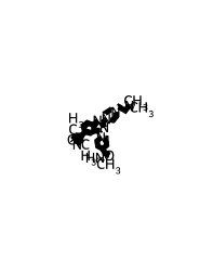 CNC(=O)C1CCN(c2nc(N3CCN(CCN(C)C)CC3)nc3ccc(-c4c(C)noc4C)cc23)CC1